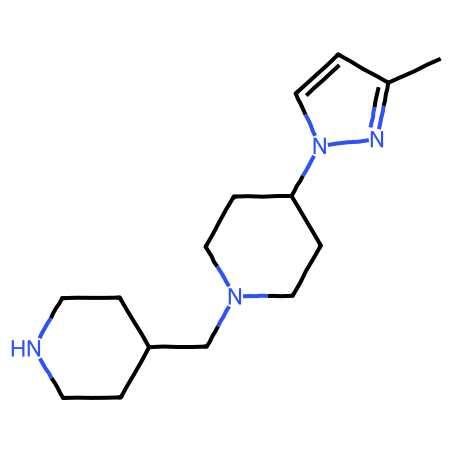 Cc1ccn(C2CCN(CC3CCNCC3)CC2)n1